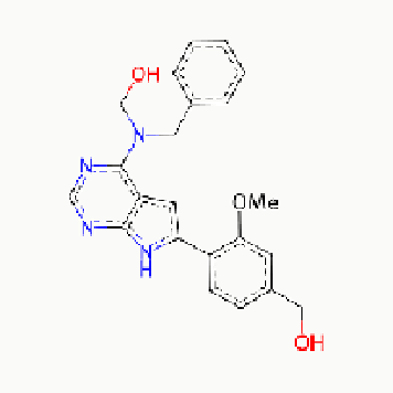 COc1cc(CO)ccc1-c1cc2c(N(CO)Cc3ccccc3)ncnc2[nH]1